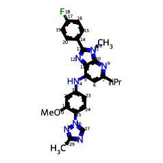 COc1cc(Nc2cc(C(C)C)nc3c2nc(-c2ccc(F)cc2)n3C)ccc1-n1cnc(C)n1